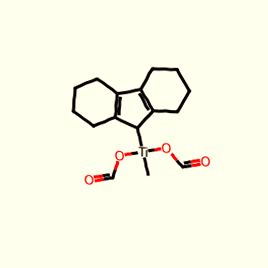 [CH3][Ti]([O]C=O)([O]C=O)[CH]1C2=C(CCCC2)C2=C1CCCC2